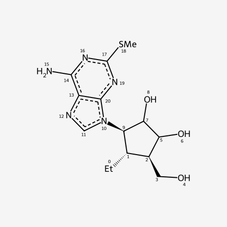 CC[C@H]1[C@H](CO)C(O)C(O)[C@@H]1n1cnc2c(N)nc(SC)nc21